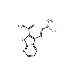 C[As](C)/N=N/c1c(C(N)=O)[se]c2ncccc12